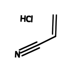 C=CC#N.Cl